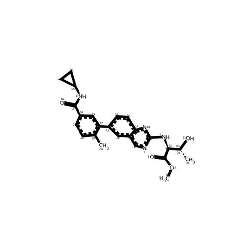 COC(=O)[C@@H](Nc1ncc2cc(-c3cc(C(=O)NC4CC4)ccc3C)ccc2n1)[C@@H](C)O